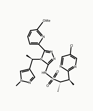 COc1cccc(-c2nnc(NS(=O)(=O)[C@@H](C)[C@H](C)c3ncc(Cl)cn3)n2[C@H](C)c2cnn(C)c2)n1